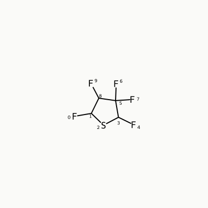 FC1SC(F)C(F)(F)C1F